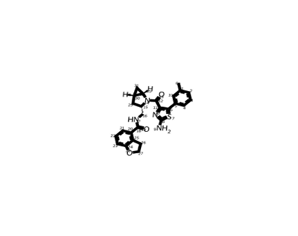 Cc1cccc(-c2sc(N)nc2C(=O)N2[C@H](CNC(=O)c3cccc4c3CCO4)C[C@@H]3C[C@@H]32)c1